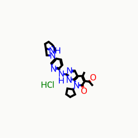 CC(=O)c1c(C)c2cnc(Nc3ccc(N4CC5CCC(C4)N5)cn3)nc2n(C2CCCC2)c1=O.Cl